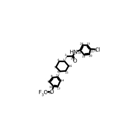 O=C(C[C@H]1CC[C@@H](c2ccc(OC(F)(F)F)cc2)CC1)Nc1ccc(Cl)cc1